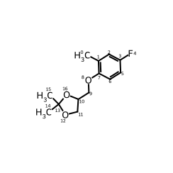 Cc1cc(F)ccc1OCC1COC(C)(C)O1